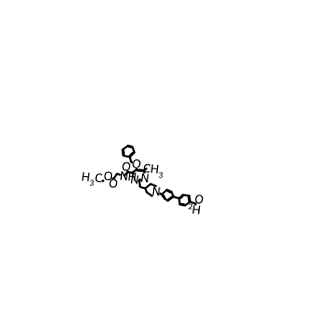 [2H]C(=O)c1ccc(-c2ccc(N3CCC(Cc4nc(C)c(OCc5ccccc5)c(C(=O)NCC(=O)OCC)n4)CC3)cc2)cc1